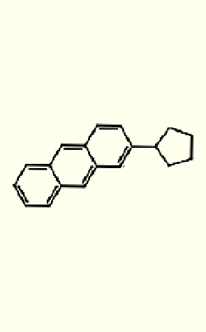 [c]1c(C2CCCC2)ccc2cc3ccccc3cc12